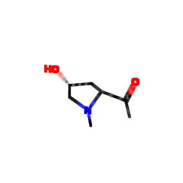 CC(=O)C1C[C@@H](O)CN1C